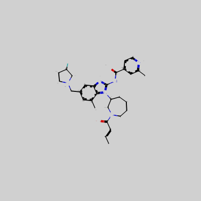 CC=CC(=O)N1CCCCC(n2c(NC(=O)c3ccnc(C)c3)nc3cc(CN4CCC(F)C4)cc(C)c32)C1